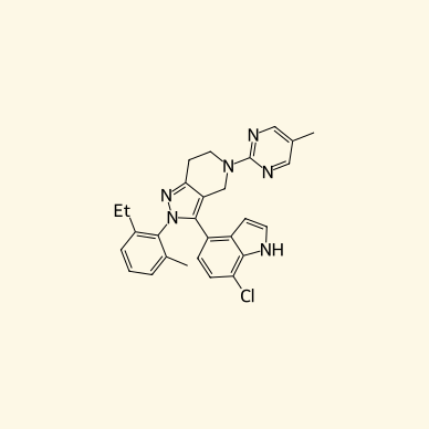 CCc1cccc(C)c1-n1nc2c(c1-c1ccc(Cl)c3[nH]ccc13)CN(c1ncc(C)cn1)CC2